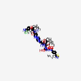 Cc1ncsc1-c1ccc([C@H](CO)NC(=O)[C@@H]2C[C@@H](O)CN2C(=O)[C@@H](NC(=O)CCCN2CCN(c3ccc(C(=O)NC4C(C)(C)C(Oc5ccc(C#N)c(Cl)c5)C4(C)C)cn3)CC2)C(C)(C)C)cc1